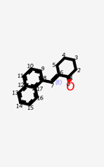 O=C1CCCC/C1=C\c1cccc2ccccc12